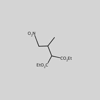 CCOC(=O)C(C(=O)OCC)C(C)C[N+](=O)[O-]